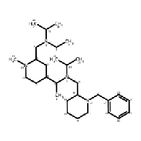 CCN(CC1CC(C(C)N(CC2CCCCN2Cc2ccccc2)C(C)C)CCN1C)C(C)C